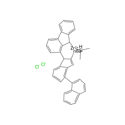 CCCCC1=Cc2c(-c3cccc4ccccc34)cccc2C1c1cccc2c1[CH]([Zr+2][SiH](C)C)c1ccccc1-2.[Cl-].[Cl-]